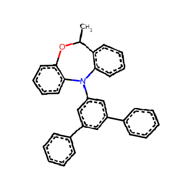 CC1Oc2ccccc2N(c2cc(-c3ccccc3)cc(-c3ccccc3)c2)c2ccccc21